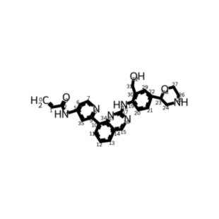 C=CC(=O)Nc1ccnc(-c2cccc3cnc(Nc4ccc(C5CNCCO5)cc4CO)nc23)c1